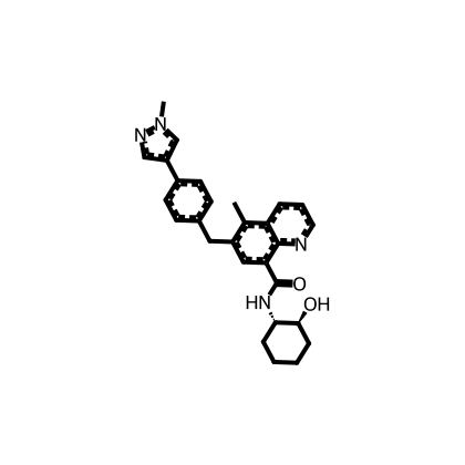 Cc1c(Cc2ccc(-c3cnn(C)c3)cc2)cc(C(=O)N[C@H]2CCCC[C@@H]2O)c2ncccc12